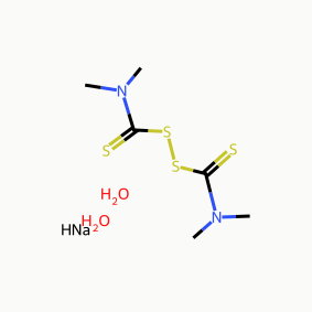 CN(C)C(=S)SSC(=S)N(C)C.O.O.[NaH]